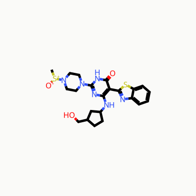 C[S+]([O-])N1CCN(c2nc(NC3CCC(CO)C3)c(-c3nc4ccccc4s3)c(=O)[nH]2)CC1